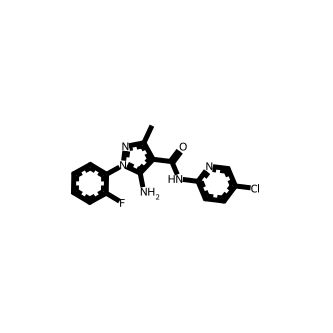 Cc1nn(-c2ccccc2F)c(N)c1C(=O)Nc1ccc(Cl)cn1